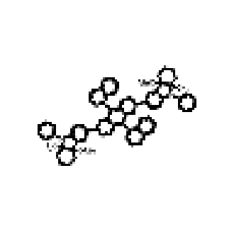 COC12CCCCC1(C)N(c1ccccc1)c1ccc(-c3ccc4c(-c5cccc6ccccc56)c5cc(-c6ccc7c(c6)C6(OC)CCCCC6(C)N7c6ccccc6)ccc5c(-c5cccc6ccccc56)c4c3)cc12